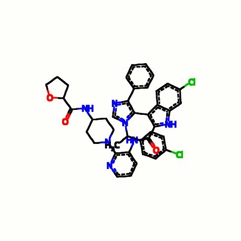 CC(c1ccc(Cl)cc1)n1cnc(-c2ccccc2)c1-c1c(C(=O)Nc2cccnc2N2CCC(NC(=O)C3CCCO3)CC2)[nH]c2cc(Cl)ccc12